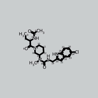 CCC(NC(C)=O)C(=O)N1CCCC(N(C)C(=O)NCc2cc3cc(Cl)ccc3[nH]2)C1